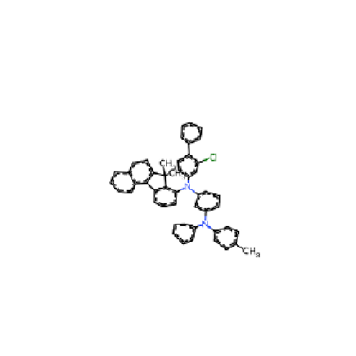 Cc1ccc(N(c2ccccc2)c2cccc(N(c3ccc(-c4ccccc4)c(Cl)c3)c3cccc4c3C(C)(C)c3ccc5ccccc5c3-4)c2)cc1